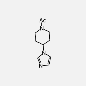 CC(=O)N1CCC(n2ccnc2)CC1